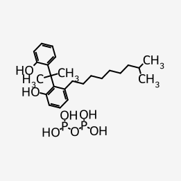 CC(C)CCCCCCCc1cccc(O)c1C(C)(C)c1ccccc1O.OP(O)OP(O)O